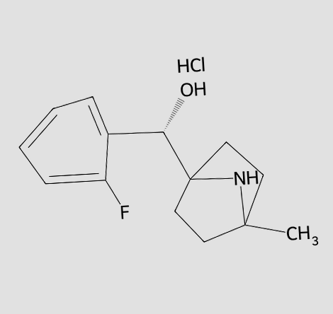 CC12CCC([C@@H](O)c3ccccc3F)(CC1)N2.Cl